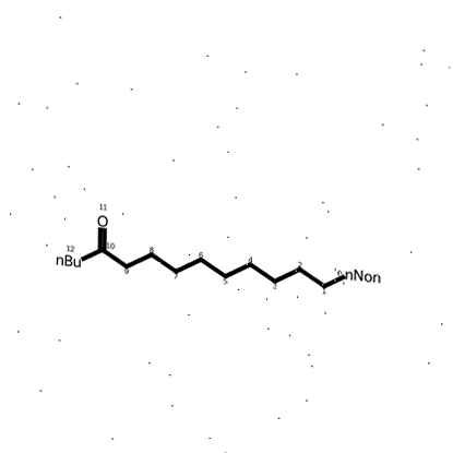 CCCCCCCCCCCCCCCCCCC(=O)CCCC